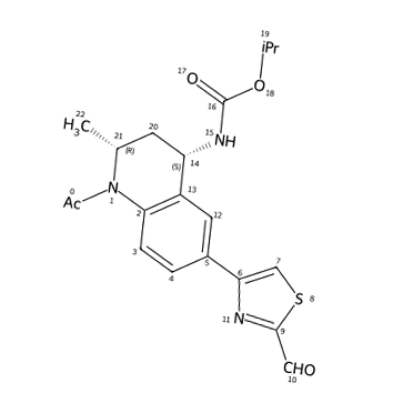 CC(=O)N1c2ccc(-c3csc(C=O)n3)cc2[C@@H](NC(=O)OC(C)C)C[C@H]1C